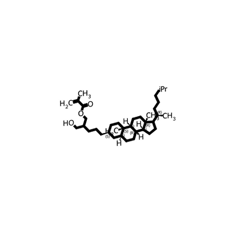 C=C(C)C(=O)OCC(CO)CCC[C@H]1CC[C@@]2(C)[C@@H](CC[C@@H]3[C@@H]2CC[C@]2(C)C([C@H](C)CCCC(C)C)CC[C@@H]32)C1